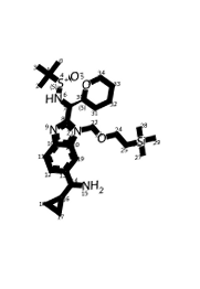 CC(C)(C)[S@@+]([O-])NC(c1nc2ccc(C(N)C3CC3)cc2n1COCC[Si](C)(C)C)[C@@H]1CCCCO1